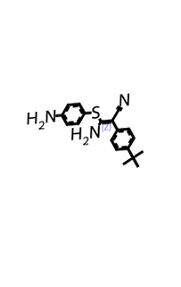 CC(C)(C)c1ccc(/C(C#N)=C(\N)Sc2ccc(N)cc2)cc1